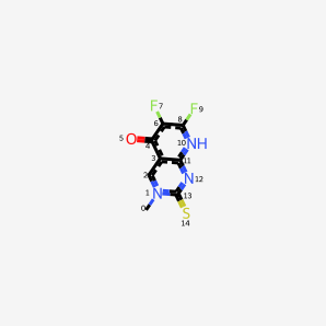 Cn1cc2c(=O)c(F)c(F)[nH]c2nc1=S